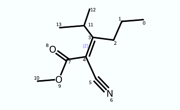 CCC/C(=C(\C#N)C(=O)OC)C(C)C